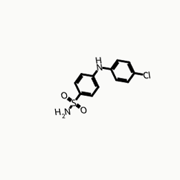 NS(=O)(=O)c1ccc(Nc2ccc(Cl)cc2)cc1